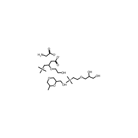 CC1COCC(CO)O1.C[N+](C)(C)CC(CC(=O)[O-])OCCO.C[N+](C)(C)CCOCC(O)CO.NCC(=O)[O-]